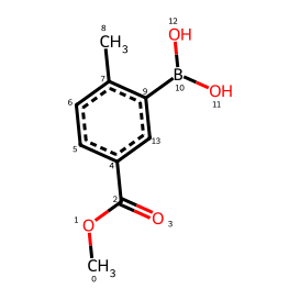 COC(=O)c1ccc(C)c(B(O)O)c1